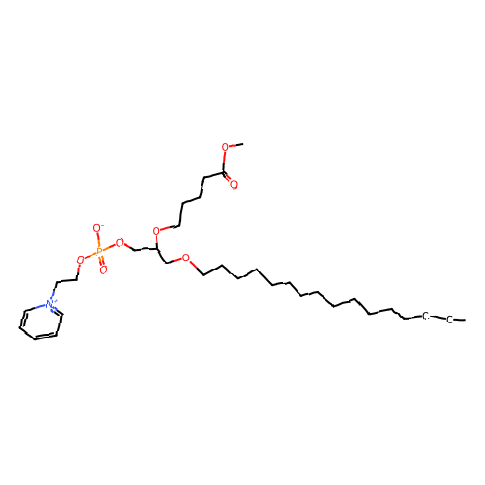 CCCCCCCCCCCCCCCCOCC(COP(=O)([O-])OCC[n+]1ccccc1)OCCCCC(=O)OC